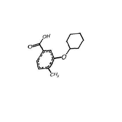 Cc1ccc(C(=O)O)cc1OC1CCCCC1